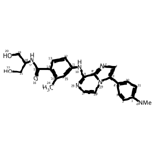 CNc1ccc(-c2cnc3c(Nc4ccc(C(=O)NC(CO)CO)c(C)c4)nccn23)cc1